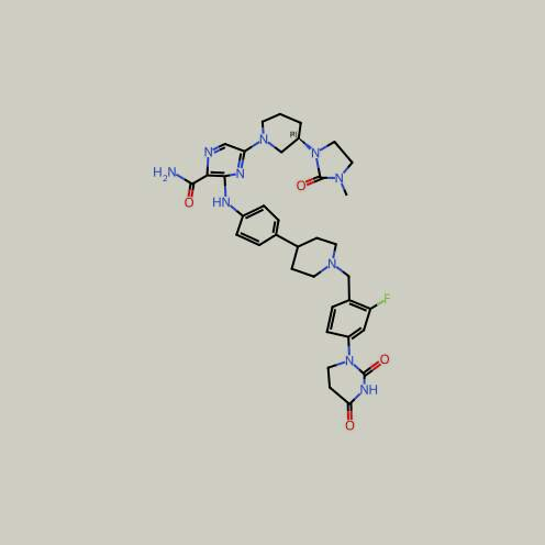 CN1CCN([C@@H]2CCCN(c3cnc(C(N)=O)c(Nc4ccc(C5CCN(Cc6ccc(N7CCC(=O)NC7=O)cc6F)CC5)cc4)n3)C2)C1=O